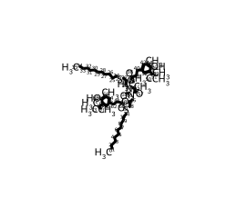 CCCCCCCCCCCCSCC(CN1C(=O)N(CC(CSCCCCCCCCCCCC)OC(=O)CCc2cc(C)c(O)c(C(C)(C)C)c2)C(C)(C)C1=O)OC(=O)CCc1cc(C)c(O)c(C(C)(C)C)c1